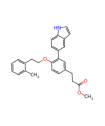 COC(=O)CCc1ccc(OCCc2ccccc2C)c(-c2ccc3[nH]ccc3c2)c1